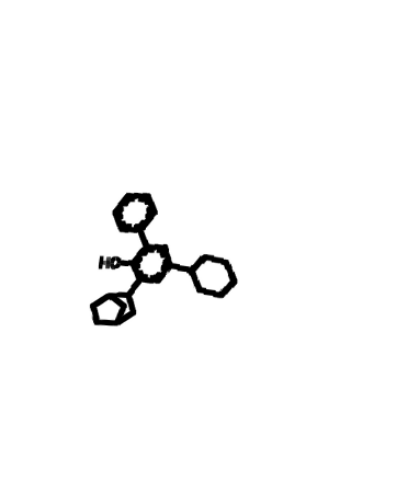 Oc1c(-c2ccccc2)cc(C2CCCCC2)cc1C1CC2CCC1C2